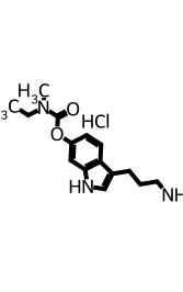 CCN(C)C(=O)Oc1ccc2c(CCCN)c[nH]c2c1.Cl